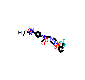 Cc1nc(-c2ccc(N3CC(CN4CCN(S(=O)(=O)c5ccccc5C(F)(F)F)CC4)OC3C=O)cc2)no1